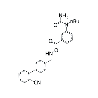 CCCCN(C(N)=O)c1cccc(C(=O)ONCc2ccc(-c3ccccc3C#N)cc2)c1